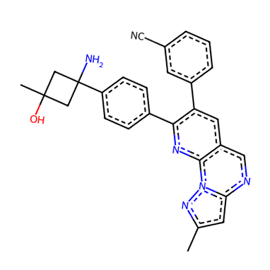 Cc1cc2ncc3cc(-c4cccc(C#N)c4)c(-c4ccc(C5(N)CC(C)(O)C5)cc4)nc3n2n1